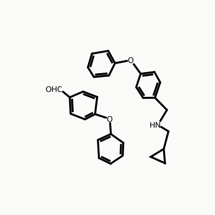 O=Cc1ccc(Oc2ccccc2)cc1.c1ccc(Oc2ccc(CNCC3CC3)cc2)cc1